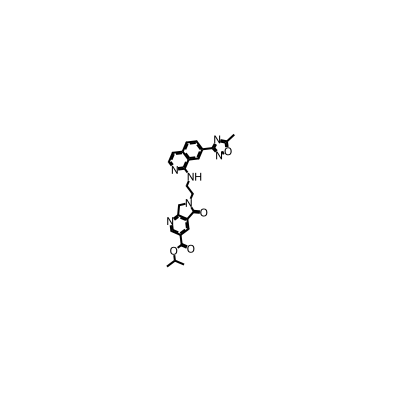 Cc1nc(-c2ccc3ccnc(NCCN4Cc5ncc(C(=O)OC(C)C)cc5C4=O)c3c2)no1